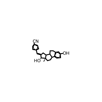 C[C@]12CCC3c4ccc(O)cc4CCC3C1C/C(=C\c1ccc(C#N)cc1)[C@@H]2O